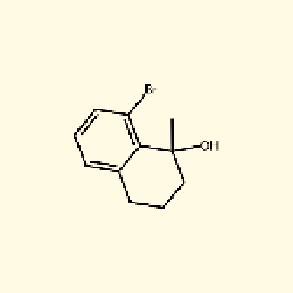 CC1(O)CCCc2cccc(Br)c21